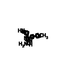 CN1CCC(c2ccc3c(c2)[nH]c2c(C(N)=O)cnc(N4CCCC5(CCNC5)C4)c23)CC1